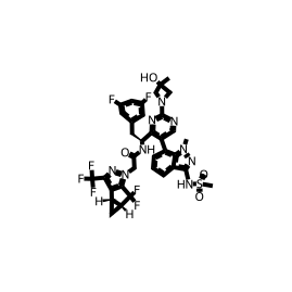 Cn1nc(NS(C)(=O)=O)c2cccc(-c3cnc(N4CC(C)(O)C4)nc3[C@H](Cc3cc(F)cc(F)c3)NC(=O)Cn3nc(C(F)(F)F)c4c3C(F)(F)[C@@H]3C[C@H]43)c21